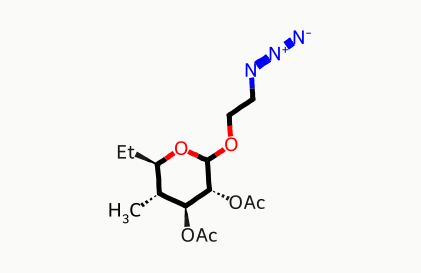 CC[C@H]1OC(OCCN=[N+]=[N-])[C@H](OC(C)=O)[C@@H](OC(C)=O)[C@@H]1C